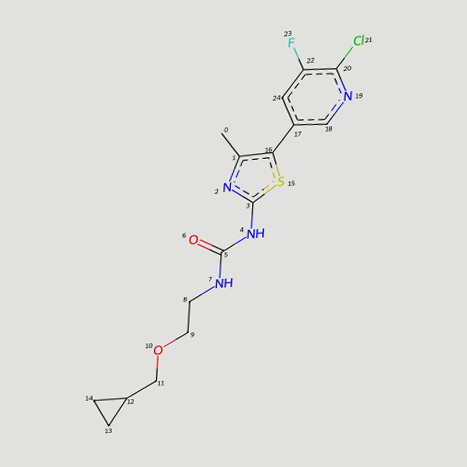 Cc1nc(NC(=O)NCCOCC2CC2)sc1-c1cnc(Cl)c(F)c1